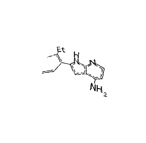 C=C/C(=C(\C)CC)c1cc2c(N)ccnc2[nH]1